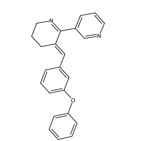 C(=C1CCCN=C1c1cccnc1)c1cccc(Oc2ccccc2)c1